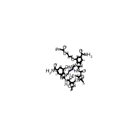 CCc1nc(C)oc1C(=O)Nc1nc2cc(C(N)=O)cc(OC)c2n1C/C=C/Cn1c(NC(=O)c2oc(C)nc2CC)nc2cc(C(N)=O)cc(OCCCOC(=O)C(C)C)c21